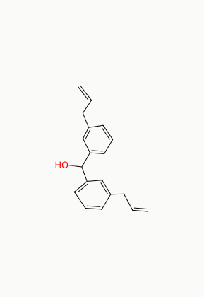 C=CCc1cccc(C(O)c2cccc(CC=C)c2)c1